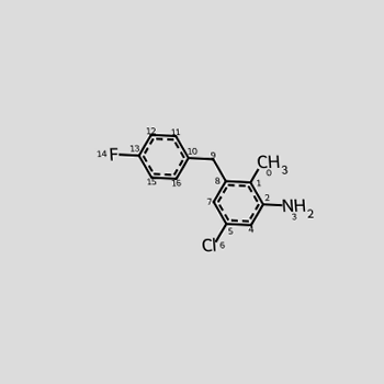 Cc1c(N)cc(Cl)cc1Cc1ccc(F)cc1